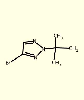 CC(C)(C)n1ncc(Br)n1